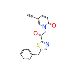 C#Cc1ccc(=O)n(CC(=O)c2ncc(Cc3ccccc3)s2)c1